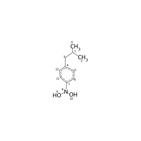 CC(C)Cc1ccc(N(O)O)cc1